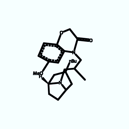 CCCCC1CC2CC[C@H](C1)N2CC(C)CN1C(=O)COc2ccc(OC)cc21